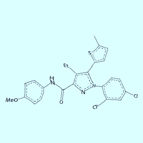 CCc1c(C(=O)Nc2ccc(OC)cc2)nn(-c2ccc(Cl)cc2Cl)c1-c1ccc(C)s1